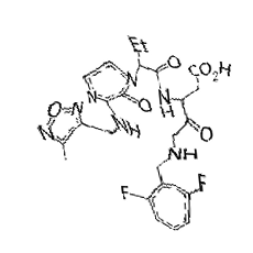 CCC(C(=O)NC(CC(=O)O)C(=O)CNCc1c(F)cccc1F)n1ccnc(NCc2nonc2C)c1=O